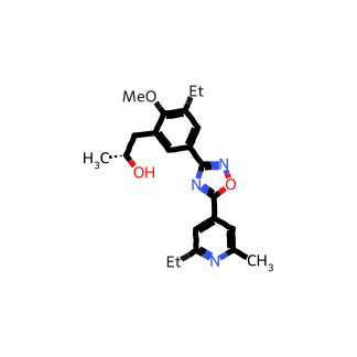 CCc1cc(-c2nc(-c3cc(CC)c(OC)c(C[C@@H](C)O)c3)no2)cc(C)n1